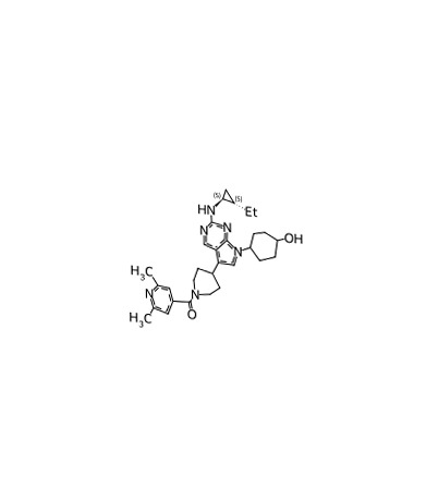 CC[C@H]1C[C@@H]1Nc1ncc2c(C3CCN(C(=O)c4cc(C)nc(C)c4)CC3)cn(C3CCC(O)CC3)c2n1